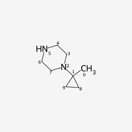 CC1(N2CCNCC2)CC1